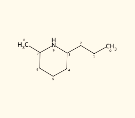 CCCC1CCCC(C)N1